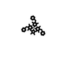 CC1=C(C)C(C)C([Si](c2cc(C)c(Cc3ccccc3)c(C)c2)(c2cc(C)c(Cc3ccccc3)c(C)c2)c2cc(C)c(Cc3ccccc3)c(C)c2)=C1C